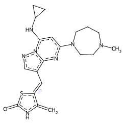 C=c1[nH]c(=O)s/c1=C\c1cnn2c(NC3CC3)cc(N3CCCN(C)CC3)nc12